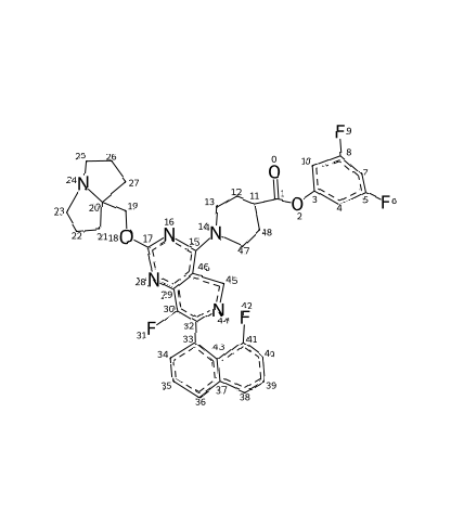 O=C(Oc1cc(F)cc(F)c1)C1CCN(c2nc(OCC34CCCN3CCC4)nc3c(F)c(-c4cccc5cccc(F)c45)ncc23)CC1